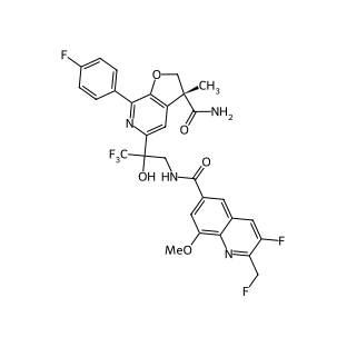 COc1cc(C(=O)NCC(O)(c2cc3c(c(-c4ccc(F)cc4)n2)OC[C@]3(C)C(N)=O)C(F)(F)F)cc2cc(F)c(CF)nc12